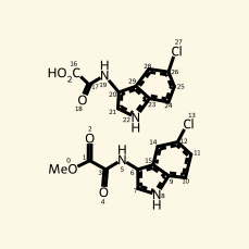 COC(=O)C(=O)Nc1c[nH]c2ccc(Cl)cc12.O=C(O)C(=O)Nc1c[nH]c2ccc(Cl)cc12